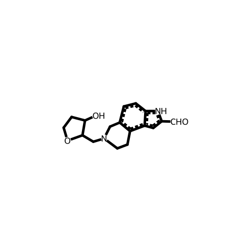 O=Cc1cc2c3c(ccc2[nH]1)CN(CC1OCCC1O)CC3